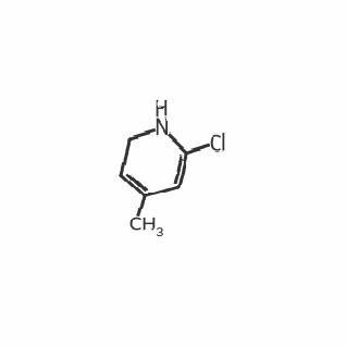 CC1=CCNC(Cl)=C1